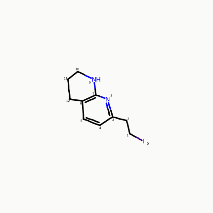 ICCc1ccc2c(n1)NCCC2